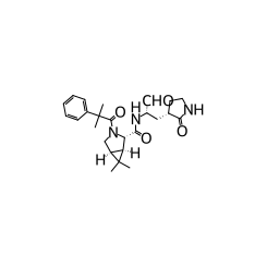 CC(C)(C(=O)N1C[C@H]2[C@@H]([C@H]1C(=O)N[C@H](C=O)C[C@@H]1CCNC1=O)C2(C)C)c1ccccc1